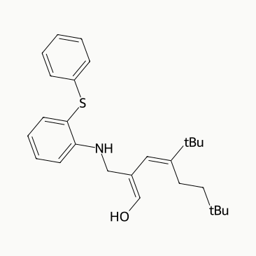 CC(C)(C)CC/C(=C\C(=C\O)CNc1ccccc1Sc1ccccc1)C(C)(C)C